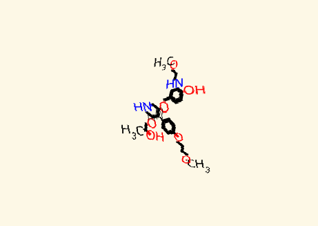 COCCCCOc1ccc([C@@H]2[C@@H](OCc3ccc(O)c(NCCCOC)c3)CNC[C@H]2OCC(C)O)cc1